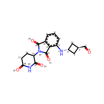 O=C[C@H]1C[C@H](Nc2cccc3c2C(=O)N(C2CCC(=O)NC2=O)C3=O)C1